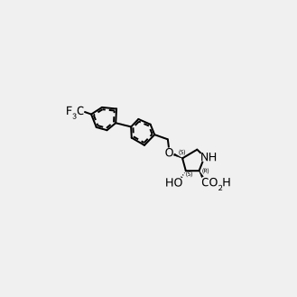 O=C(O)[C@@H]1NC[C@H](OCc2ccc(-c3ccc(C(F)(F)F)cc3)cc2)[C@H]1O